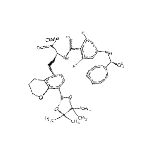 COC(=O)[C@H](Cc1ccc(B2OC(C)(C)C(C)(C)O2)c2c1CCCO2)NC(=O)c1c(F)cc(N[C@H](c2ccccc2)C(F)(F)F)cc1F